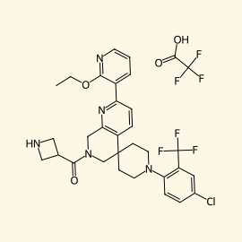 CCOc1ncccc1-c1ccc2c(n1)CN(C(=O)C1CNC1)CC21CCN(c2ccc(Cl)cc2C(F)(F)F)CC1.O=C(O)C(F)(F)F